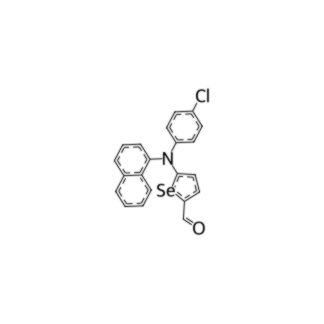 O=Cc1ccc(N(c2ccc(Cl)cc2)c2cccc3ccccc23)[se]1